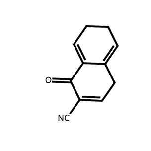 N#CC1=CCC2=CCCC=C2C1=O